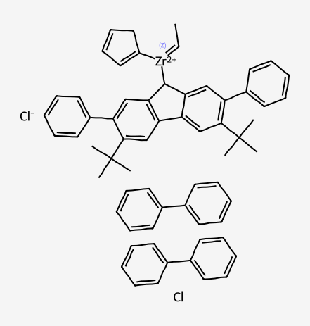 C/[CH]=[Zr+2](\[C]1=CC=CC1)[CH]1c2cc(-c3ccccc3)c(C(C)(C)C)cc2-c2cc(C(C)(C)C)c(-c3ccccc3)cc21.[Cl-].[Cl-].c1ccc(-c2ccccc2)cc1.c1ccc(-c2ccccc2)cc1